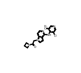 Cc1cncc(Cl)c1Nc1nccc2c1ccn2CC(=O)N1CCC1